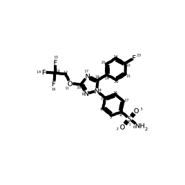 NS(=O)(=O)c1ccc(-n2nc(OCC(F)(F)F)nc2-c2ccc(F)cc2)cc1